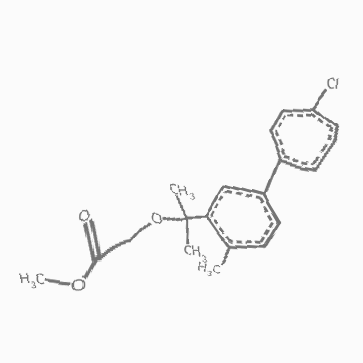 COC(=O)COC(C)(C)c1cc(-c2ccc(Cl)cc2)ccc1C